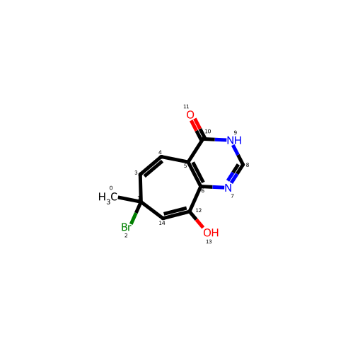 CC1(Br)C=Cc2c(nc[nH]c2=O)C(O)=C1